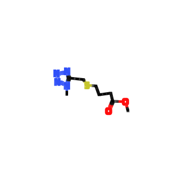 COC(=O)CCCSCc1nnnn1C